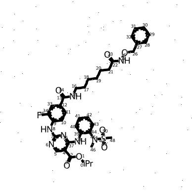 CC(C)OC(=O)c1cnc(Nc2ccc(C(=O)NCCCCCCC(=O)NOCc3ccccc3)cc2F)nc1Nc1ccccc1N(C)S(C)(=O)=O